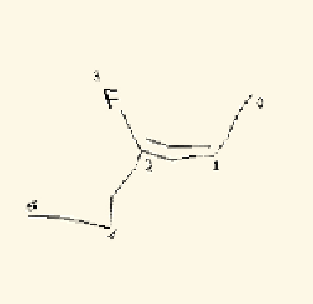 CC=C(F)CC